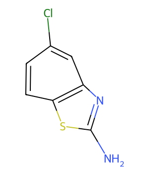 Nc1nc2cc(Cl)ccc2s1